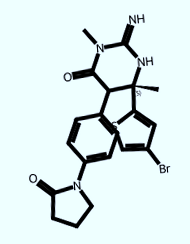 CN1C(=N)N[C@](C)(c2cc(Br)cs2)C(c2ccc(N3CCCC3=O)cc2)C1=O